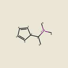 CC(C1C=CC=C1)P(C)C